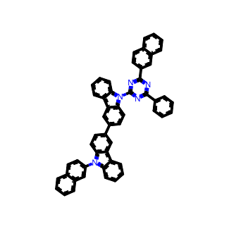 c1ccc(-c2nc(-c3ccc4ccccc4c3)nc(-n3c4ccccc4c4cc(-c5ccc6c(c5)c5ccccc5n6-c5ccc6ccccc6c5)ccc43)n2)cc1